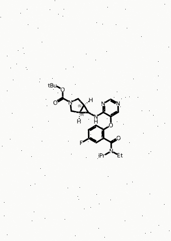 CCN(C(=O)c1cc(F)ccc1Oc1cncnc1NC1[C@H]2CN(C(=O)OC(C)(C)C)C[C@@H]12)C(C)C